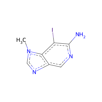 Cn1cnc2cnc(N)c(I)c21